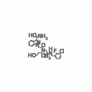 C[C@@H](CCO)N(CC(=O)NCc1cccc(Cl)c1F)C(=O)Cn1nc(C(N)O)c2ccccc21